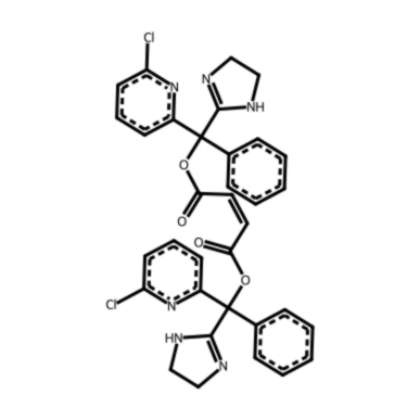 O=C(/C=C\C(=O)OC(C1=NCCN1)(c1ccccc1)c1cccc(Cl)n1)OC(C1=NCCN1)(c1ccccc1)c1cccc(Cl)n1